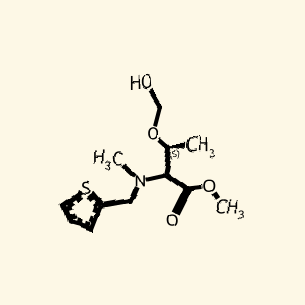 COC(=O)C([C@H](C)OCO)N(C)Cc1cccs1